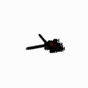 CCCCCCCCCCCCC/C=C/[C@@H](O)[C@H](CO[C@@H]1OC(CO)[C@@H](O[C@@H]2OC(CO)[C@H](O)[C@H](O[C@@H]3OC(CO)[C@@H](O[C@H]4OC(C)[C@@H](O)C(O)[C@@H]4O)[C@H](O[C@@H]4OC(CO)[C@H](O)[C@H](O[C@@H]5OC(CO)[C@@H](O[C@@H]6OC(CO)[C@H](O)[C@H](O)C6O)[C@H](O[C@H]6OC(C)[C@@H](O)C(O)[C@@H]6O)C5NC(C)=O)C4O)C3NC(C)=O)C2O)[C@H](O)C1O)NC(=O)CCCCCCCCCCCCCCCCCCCCCCC